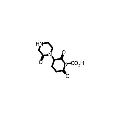 O=C(O)N1C(=O)CCC(N2CCNCC2=O)C1=O